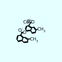 Cc1ccc2cccc(C(=O)[O-])c2c1.Cc1ccc2cccc(C(=O)[O-])c2c1.[Cd+2]